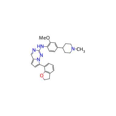 COc1cc(C2CCN(C)CC2)ccc1Nc1ncc2ccc(-c3cccc4c3OCC4)n2n1